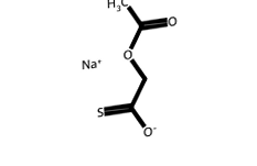 CC(=O)OCC([O-])=S.[Na+]